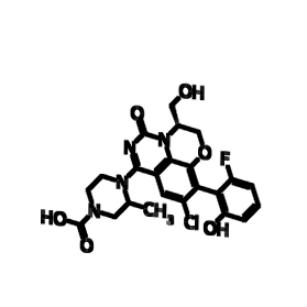 CC1CN(C(=O)O)CCN1c1nc(=O)n2c3c(c(-c4c(O)cccc4F)c(Cl)cc13)OC[C@@H]2CO